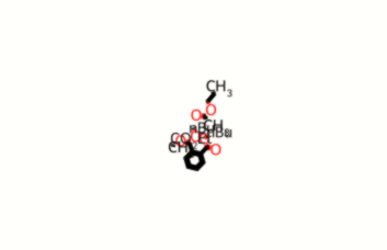 CCCCOC(=O)c1ccccc1C(=O)OCCCC.CCCOC(C)=O.CCOC(C)=O